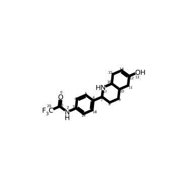 O=C(Nc1ccc(C2CCC3CC(O)=CCC3N2)cc1)C(F)(F)F